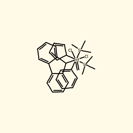 [CH2]=[Hf]([Cl])([Cl])([c]1ccccc1)([CH]1C=CC=C1)([CH]1c2ccccc2-c2ccccc21)([Si](C)(C)C)[Si](C)(C)C